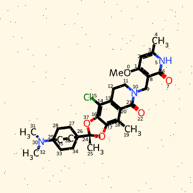 COc1cc(C)[nH]c(=O)c1CN1CCc2c(Cl)c3c(c(C)c2C1=O)O[C@](C)(C12CCC(N(C)C)(CC1)CC2)O3